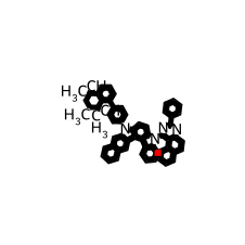 CC1CC(C)(C)c2cccc(-c3ccc(-n4c5cc6ccccc6cc5c5c6c7ccccc7n(-c7nc(-c8ccccc8)nc8ccc9ccccc9c78)c6ccc54)cc3)c2C1(C)C